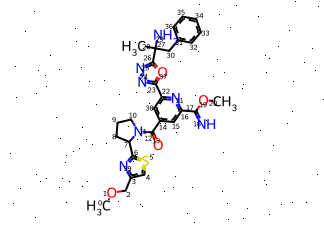 COCc1csc(C2CCCN2C(=O)c2cc(C(=N)OC)nc(-c3nnc(C(C)(N)Cc4ccccc4)o3)c2)n1